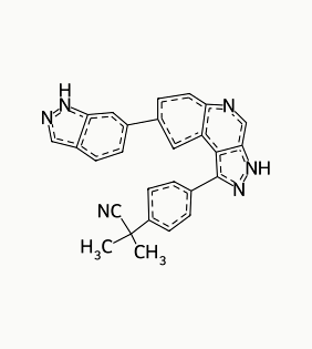 CC(C)(C#N)c1ccc(-c2n[nH]c3cnc4ccc(-c5ccc6cn[nH]c6c5)cc4c23)cc1